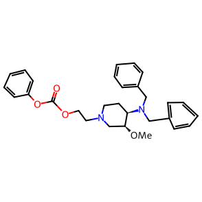 CO[C@H]1CN(CCOC(=O)Oc2ccccc2)CC[C@H]1N(Cc1ccccc1)Cc1ccccc1